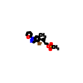 Cc1cc2c(cnn2[C@H]2CCCCO2)c(Br)c1[C@@H]1C[C@@H]1CCOS(C)(=O)=O